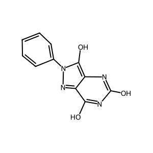 Oc1nc(O)c2nn(-c3ccccc3)c(O)c2n1